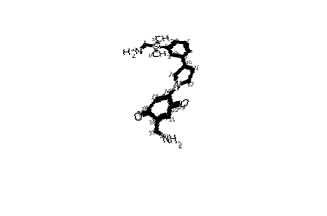 C[Si](C)(CN)c1cccc(C2CCN(C3=CC(=O)C(CN)=CC3=O)C2)c1